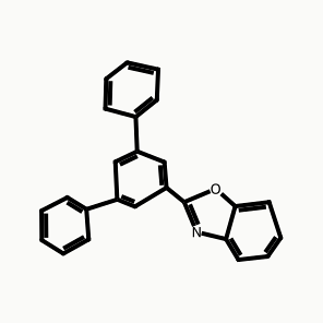 c1ccc(-c2cc(-c3ccccc3)cc(-c3nc4ccccc4o3)c2)cc1